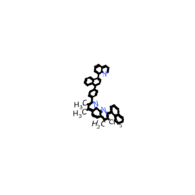 Cc1c(-c2ccc(-c3ccc(-c4cccc5cccnc45)c4ccccc34)cc2)nc2c(ccc3c(C)c(C)c(-c4cccc5ccccc45)nc32)c1C